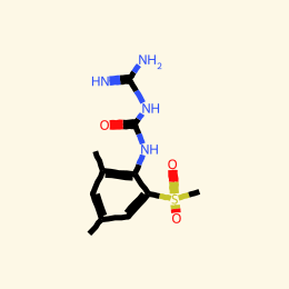 Cc1cc(C)c(NC(=O)NC(=N)N)c(S(C)(=O)=O)c1